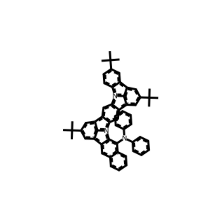 CC(C)(C)c1ccc2c(c1)c1cc(C(C)(C)C)cc3c4cc5c(cc4n2c13)c1cc(C(C)(C)C)cc2c3cc4ccccc4c(N(c4ccccc4)c4ccccc4)c3n5c12